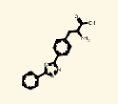 NC(Cc1ccc(-c2nnc(-c3ccccc3)o2)cc1)C(=O)O